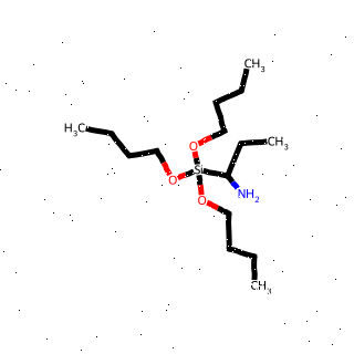 CCCCO[Si](OCCCC)(OCCCC)C(N)CC